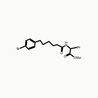 COC(=O)C(NC(=O)CCCCCc1ccc(Br)cc1)C(C)C